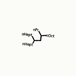 CCCCCCCCC(CCC)CC(CCCCCCC)CCCCCCC